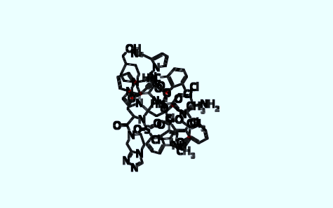 COc1ccccc1CN(C)C(=O)C(CC(N(C(CCn1cccc1C#N)C(=O)N1CCC(CO)CC1)S(=O)(=O)c1cc(Cl)c(N)c(Cl)c1)(N(C(CCn1cccc1C#N)C(=O)N1CCn2cnnc2C1)S(=O)(=O)c1cccc2[nH]cc(Cl)c12)n1cccc1C#N)(NS(=O)(=O)c1c(C)cccc1Cl)S(=O)(=O)c1c(C)cccc1Cl